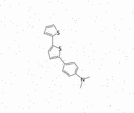 CN(C)c1ccc(-c2ccc(-c3cccs3)s2)cc1